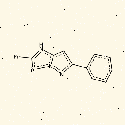 CC(C)c1nn2nc(-c3ccccc3)cc2[nH]1